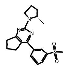 C[C@H]1CCCN1c1nc2c(c(-c3cccc(S(C)(=O)=O)c3)n1)CCC2